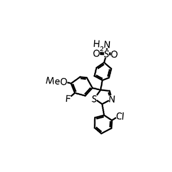 COc1ccc(C2(c3ccc(S(N)(=O)=O)cc3)C=NC(c3ccccc3Cl)S2)cc1F